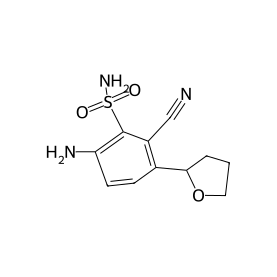 N#Cc1c(C2CCCO2)ccc(N)c1S(N)(=O)=O